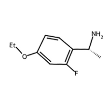 CCOc1ccc([C@@H](C)N)c(F)c1